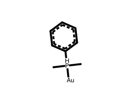 C[PH](C)([Au])c1ccccc1